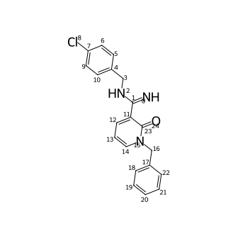 N=C(NCc1ccc(Cl)cc1)c1cccn(Cc2ccccc2)c1=O